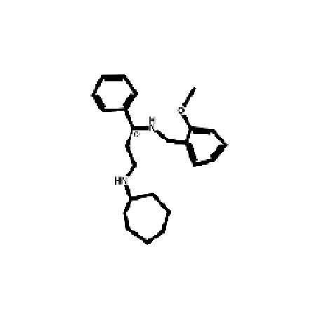 COc1ccccc1CN[C@@H](CCNC1CCCCCC1)c1ccccc1